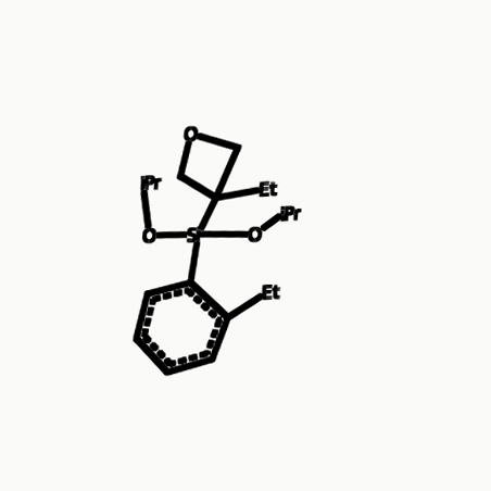 CCc1ccccc1[Si](OC(C)C)(OC(C)C)C1(CC)COC1